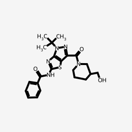 CC(C)(C)n1nc(C(=O)N2CCCC(CO)C2)c2sc(NC(=O)c3ccccc3)nc21